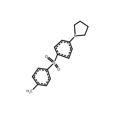 Cc1ccc(S(=O)(=O)c2ccc(N3CCCC3)cc2)cc1